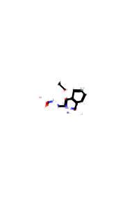 CCCOc1c(CNC(=O)O)n(C)c(=O)c2ccc(Cl)cc12